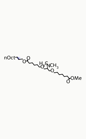 CCCCCCCC/C=C/COC(=O)CCCCCOCC(COCCCCCCC(=O)OC)N(C)C